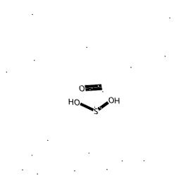 C=O.OSO